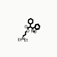 CCN(CC)CCCOC(=O)C(c1noc2ccccc12)C1CCCCC1